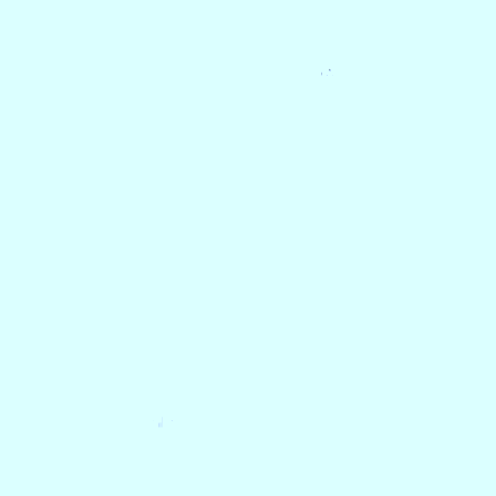 CCCC=CCCCCC/C=C/OC(C)=O